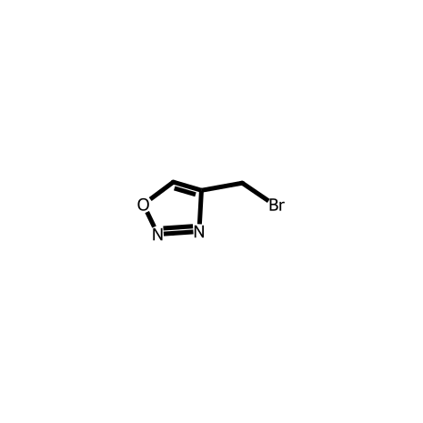 BrCc1conn1